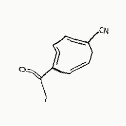 N#Cc1ccc(C(=O)I)cc1